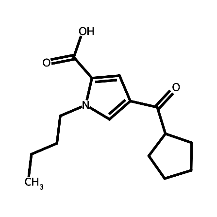 CCCCn1cc(C(=O)C2CCCC2)cc1C(=O)O